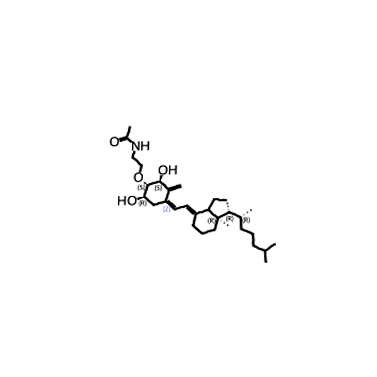 C=C1/C(=C\C=C2CCC[C@@]3(C)C2CC[C@@H]3[C@H](C)CCCC(C)C)C[C@@H](O)[C@H](OCCNC(C)=O)[C@H]1O